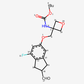 CC(C)(C)OC(=O)NC1(COc2cc(F)c3c(c2)CC(C=O)C3)COC1